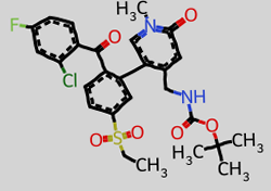 CCS(=O)(=O)c1ccc(C(=O)c2ccc(F)cc2Cl)c(-c2cn(C)c(=O)cc2CNC(=O)OC(C)(C)C)c1